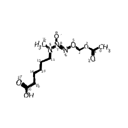 CC(=O)OCON=[N+]([O-])N(C)CCCCCC(=O)O